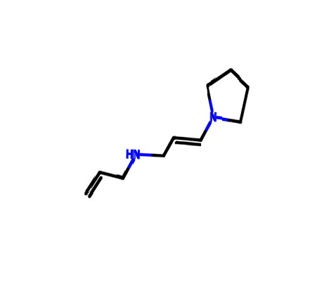 C=CCNCC=CN1CCCC1